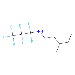 CCC(C)CCNC(F)(F)C(F)(F)C(F)(F)F